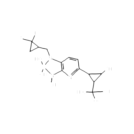 CC1C(c2ccc3c(n2)N(C)S(O)(O)N3CC2CC2(F)F)C1C(C)(C)O